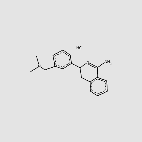 CN(C)Cc1cccc(C2Cc3ccccc3C(N)=N2)c1.Cl